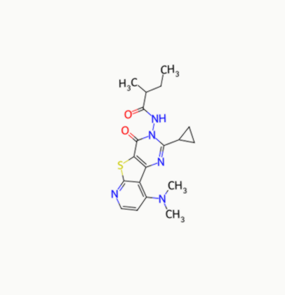 CCC(C)C(=O)Nn1c(C2CC2)nc2c(sc3nccc(N(C)C)c32)c1=O